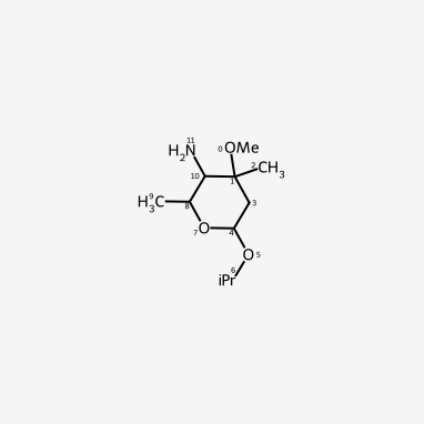 COC1(C)CC(OC(C)C)OC(C)C1N